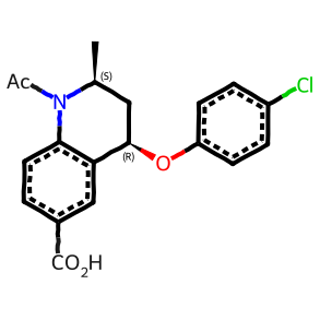 CC(=O)N1c2ccc(C(=O)O)cc2[C@H](Oc2ccc(Cl)cc2)C[C@@H]1C